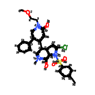 COCCn1cc(-c2ccccc2)c(-c2cn(C)c(=O)c3c2cc(Cl)n3S(=O)(=O)c2ccc(C)cc2)cc1=O